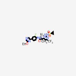 CCOc1cncc(-c2ccc(NC(=O)C(C)(C)c3cc(C(F)(F)F)nc(NS(=O)(=O)C4CC4)n3)c(F)c2)n1